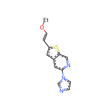 CCOC=Cc1cc2cc(-n3ccnc3)ncc2s1